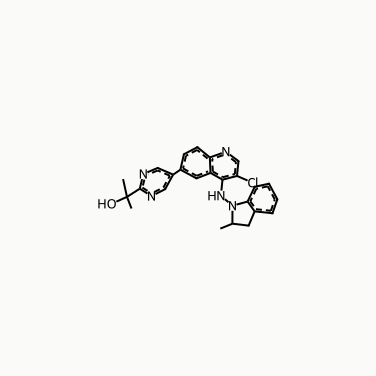 CC1Cc2ccccc2N1Nc1c(Cl)cnc2ccc(-c3cnc(C(C)(C)O)nc3)cc12